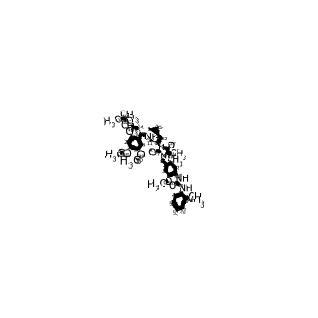 COc1cc(CN2C(=O)N([C@H](CN[C@@H](CC(=O)OC(C)(C)C)c3ccc(OC)c(OC)c3)CC3CC3)C(=O)C2(C)C)ccc1NC(=O)Nc1ccccc1C